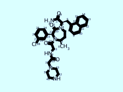 C[C@@H]1CCN([C@H](Cc2cccc3ccccc23)C(N)=O)C(=O)[C@H](c2cccc(Cl)c2)N1C(=O)CNC(=O)CN1CCNCC1